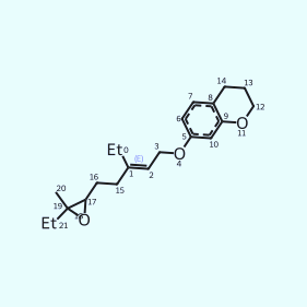 CC/C(=C\COc1ccc2c(c1)OCCC2)CCC1OC1(C)CC